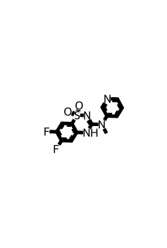 CN(C1=NS(=O)(=O)c2cc(F)c(F)cc2N1)c1cccnc1